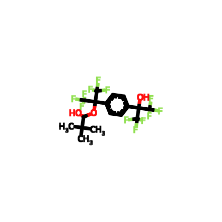 CC(C)(C)C(O)OC(c1ccc(C(O)(C(F)(F)F)C(F)(F)F)cc1)(C(F)(F)F)C(F)(F)F